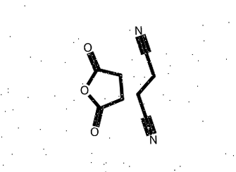 N#CCCC#N.O=C1CCC(=O)O1